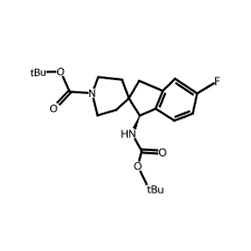 CC(C)(C)OC(=O)N[C@@H]1c2ccc(F)cc2CC12CCN(C(=O)OC(C)(C)C)CC2